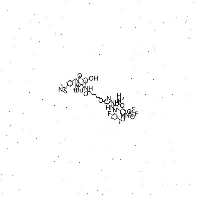 Cc1ncsc1-c1ccc(CNC(=O)[C@@H]2C[C@@H](O)CN2C(=O)C(NC(=O)CCCCCOc2ccc(Nc3[nH]nc(-c4ccc(NS(=O)(=O)C(F)F)c(OC(C)c5ccc(F)cc5)c4)c3C(N)=O)nc2)C(C)(C)C)cc1